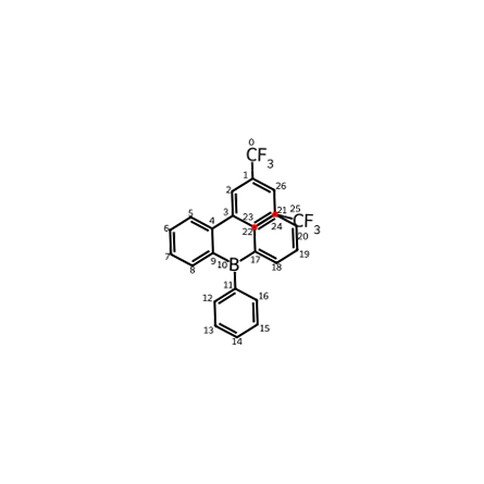 FC(F)(F)c1cc(-c2ccccc2B(c2ccccc2)c2ccccc2)cc(C(F)(F)F)c1